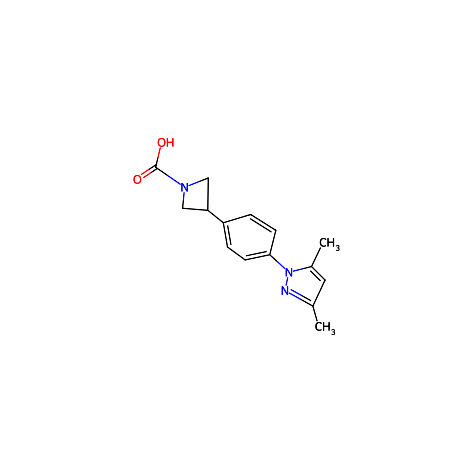 Cc1cc(C)n(-c2ccc(C3CN(C(=O)O)C3)cc2)n1